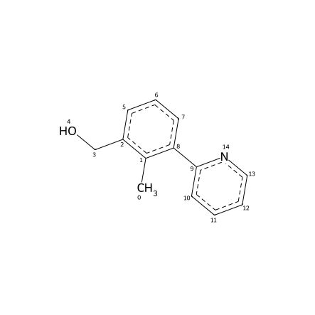 Cc1c(CO)cccc1-c1ccccn1